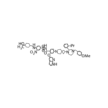 COc1ccc(CN2CCCN(C3CC4(CCN(c5ccc(C(=O)NS(=O)(=O)c6ccc(NCC7CCC(C)(O)CC7)c([N+](=O)[O-])c6)c(Oc6cnc7[nH]ccc7c6)c5)CC4)C3)C(c3ccccc3C(C)C)C2)cc1